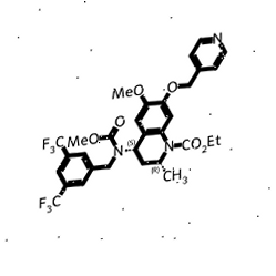 CCOC(=O)N1c2cc(OCc3ccncc3)c(OC)cc2[C@@H](N(Cc2cc(C(F)(F)F)cc(C(F)(F)F)c2)C(=O)OC)C[C@H]1C